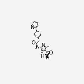 Cc1nc(N(C)C(=O)CC2=CCC(c3ccccn3)C=C2)sc1[SH](=N)=O